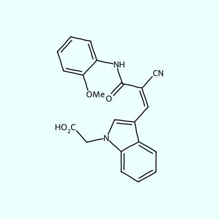 COc1ccccc1NC(=O)C(C#N)=Cc1cn(CC(=O)O)c2ccccc12